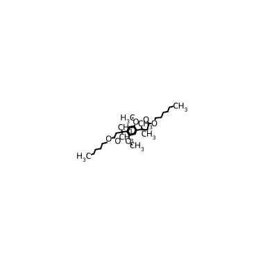 CCCCCCOC(=O)CC(C)(C)c1cc(OC)c(C(C)(C)CC(=O)OCCCCCC)cc1OC